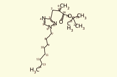 C=C(Cc1ncn(CCCCCCCC)n1)C(=O)OC(C)(C)C